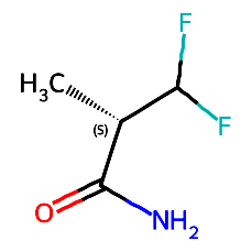 C[C@@H](C(N)=O)C(F)F